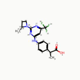 CC(C(=O)O)c1ccc(Nc2cc(C(F)(F)F)nc(N3CC[C@@H]3C)n2)cc1